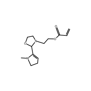 C=CC(=O)OCCN1CCOC1C1=CCCN1C